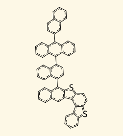 c1ccc2cc(-c3c4ccccc4c(-c4ccc(-c5c6ccccc6cc6c5sc5ccc7sc8ccccc8c7c56)c5ccccc45)c4ccccc34)ccc2c1